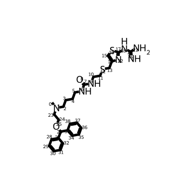 CN(CCCCNC(=O)NCCSCc1csc(NC(=N)N)n1)CCOC(c1ccccc1)c1ccccc1